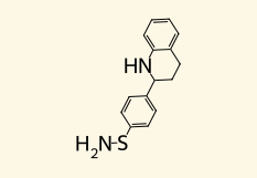 NSc1ccc(C2CCc3ccccc3N2)cc1